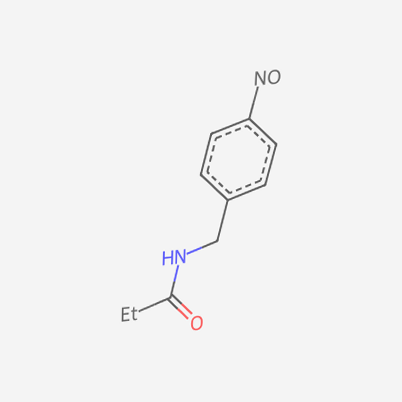 CCC(=O)NCc1ccc(N=O)cc1